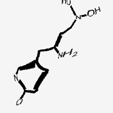 N/C(=C\CN(O)O)Cc1ccc(Cl)nc1